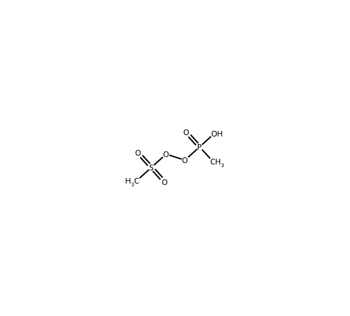 CP(=O)(O)OOS(C)(=O)=O